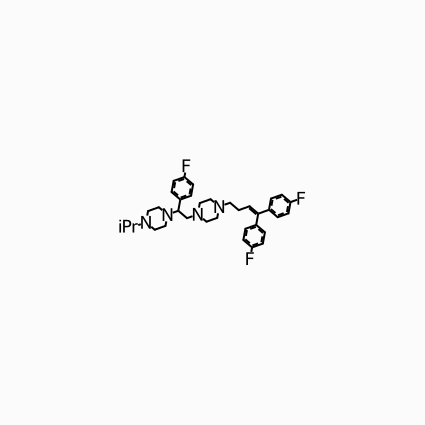 CC(C)N1CCN(C(CN2CCN(CCC=C(c3ccc(F)cc3)c3ccc(F)cc3)CC2)c2ccc(F)cc2)CC1